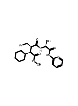 CC(C)C[C@@H](C(=O)N[C@H](C(=O)Nc1ccccn1)C(C)(C)C)[C@@H](C(=O)NO)C1CCCCC1